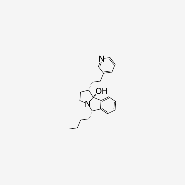 CCCC[C@H]1c2ccccc2[C@@]2(O)[C@@H](CCc3cccnc3)CCN12